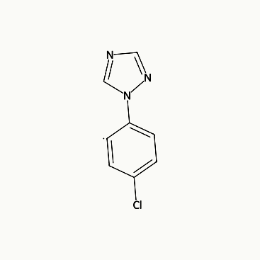 Clc1c[c]c(-n2cncn2)cc1